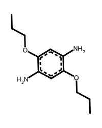 CCCOc1cc(N)c(OCCC)cc1N